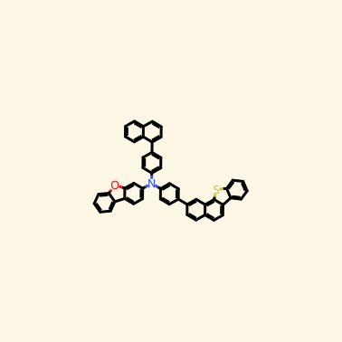 c1ccc2c(-c3ccc(N(c4ccc(-c5ccc6ccc7c8ccccc8sc7c6c5)cc4)c4ccc5c(c4)oc4ccccc45)cc3)cccc2c1